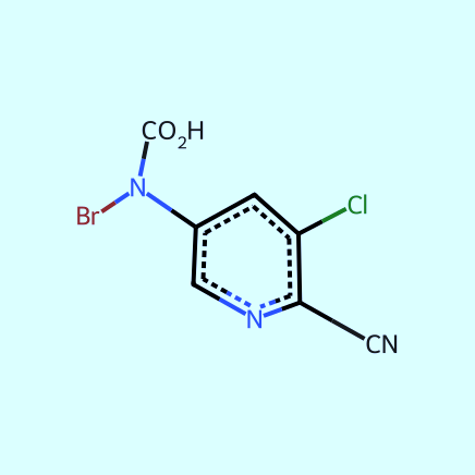 N#Cc1ncc(N(Br)C(=O)O)cc1Cl